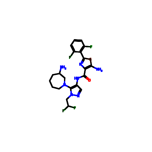 Nc1sc(-c2c(F)cccc2F)nc1C(=O)Nc1cnn(CC(F)F)c1N1CCCCC(N)C1